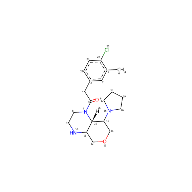 Cc1cc(CC(=O)N2CCNC3COCC(N4CCCC4)[C@H]32)ccc1Cl